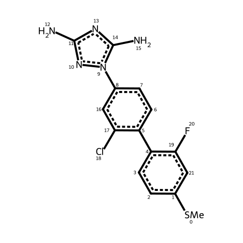 CSc1ccc(-c2ccc(-n3nc(N)nc3N)cc2Cl)c(F)c1